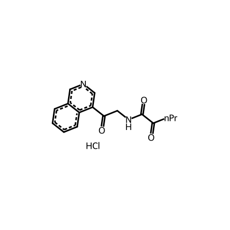 CCCC(=O)C(=O)NCC(=O)c1cncc2ccccc12.Cl